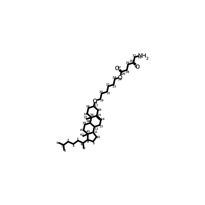 CC(C)CCCC(C)C1CCC2C3CC=C4CC(OCCCCCCOC(=O)CCC(=O)CN)CCC4(C)C3CCC12C